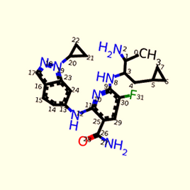 CC(N)C(CC1CC1)Nc1nc(Nc2ccc3cnn(C4CC4)c3c2)c(C(N)=O)cc1F